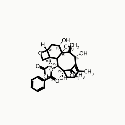 C=C1[C@H](O)C2=C(C)CC[C@@](O)([C@@H](OC(=O)c3ccccc3)C3[C@@]1(C)[C@@H](O)C[C@H]1OC[C@@]31OC(C)=O)C2(C)C